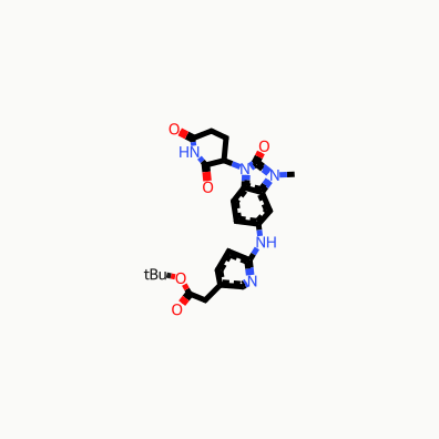 Cn1c(=O)n(C2CCC(=O)NC2=O)c2ccc(Nc3ccc(CC(=O)OC(C)(C)C)cn3)cc21